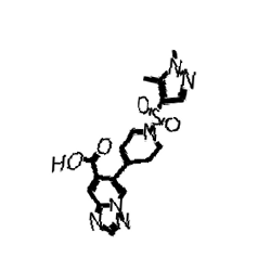 Cc1c(S(=O)(=O)N2CCC(c3cn4ncnc4cc3C(=O)O)CC2)cnn1C